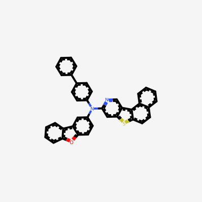 c1ccc(-c2ccc(N(c3ccc4oc5ccccc5c4c3)c3cc4sc5ccc6ccccc6c5c4cn3)cc2)cc1